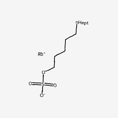 CCCCCCCCCCCCOS(=O)(=O)[O-].[Rb+]